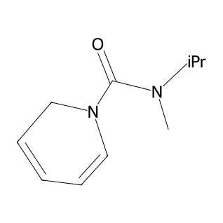 CC(C)N(C)C(=O)N1C=CC=CC1